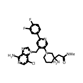 CNC(=O)CC1(N)CCCN(c2cnc(-c3ccc(F)c(F)c3)cc2Cn2cnc3c(N)ncc(Cl)c32)C1